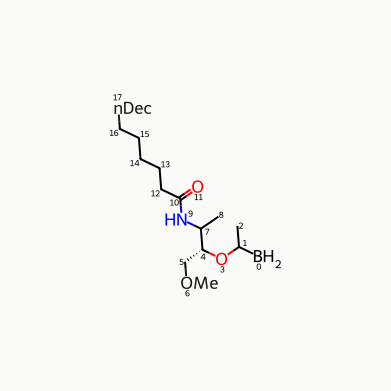 BC(C)O[C@H](COC)C(C)NC(=O)CCCCCCCCCCCCCCC